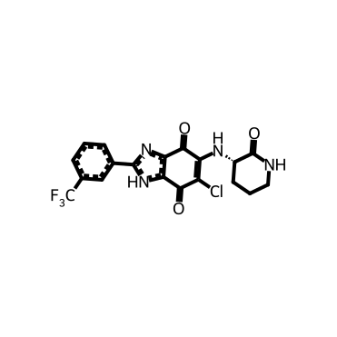 O=C1C(N[C@H]2CCCNC2=O)=C(Cl)C(=O)c2[nH]c(-c3cccc(C(F)(F)F)c3)nc21